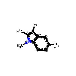 CCc1c(C)n(C)c2ccc(C(F)(F)F)cc12